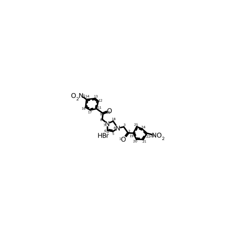 Br.O=C(CN1C=CN(CC(=O)c2ccc([N+](=O)[O-])cc2)C1)c1ccc([N+](=O)[O-])cc1